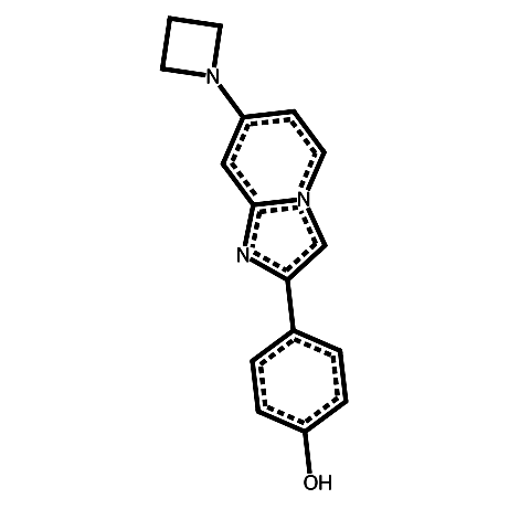 Oc1ccc(-c2cn3ccc(N4CCC4)cc3n2)cc1